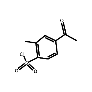 CC(=O)c1ccc(S(=O)(=O)Cl)c(C)c1